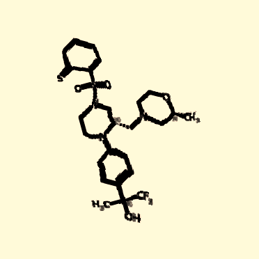 C[C@H]1CN(C[C@H]2CN(S(=O)(=O)C3=CC=CCC3=S)CCN2c2ccc([C@@](C)(O)C(F)(F)F)cc2)CCO1